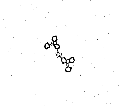 c1ccc(-n2c3ccccc3c3cc(-c4nnc(-c5ccc6c7ccccc7n(-c7ccccc7)c6c5)o4)ccc32)cc1